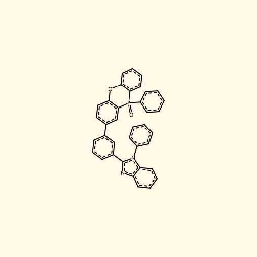 O=P1(c2ccccc2)c2ccccc2Oc2ccc(-c3cccc(-c4nc5ccccc5n4-c4ccccc4)c3)cc21